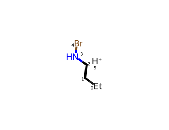 CCCCNBr.[H+]